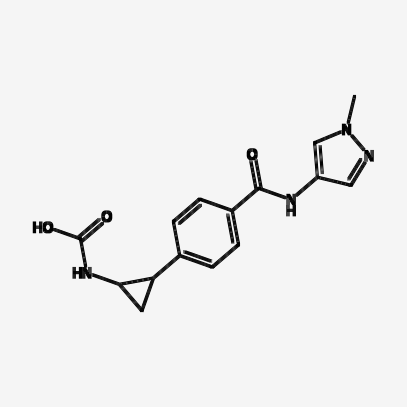 Cn1cc(NC(=O)c2ccc(C3CC3NC(=O)O)cc2)cn1